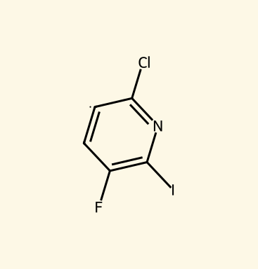 Fc1c[c]c(Cl)nc1I